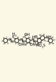 COc1cc(N=Nc2ccccc2)c(C)cc1N=Nc1cc(OC)c(N=Nc2c(S(=O)(=O)O)cc3cc(Nc4ccccc4)ccc3c2O)cc1CO